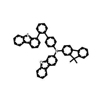 CC1(C)c2ccccc2-c2ccc(N(c3ccc(-c4ccccc4-c4cccc5c4sc4ccccc45)cc3)c3ccc4c(c3)oc3ccccc34)cc21